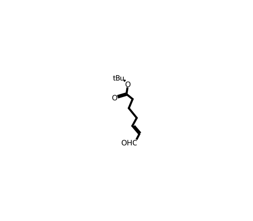 CC(C)(C)OC(=O)CCCC=CC=O